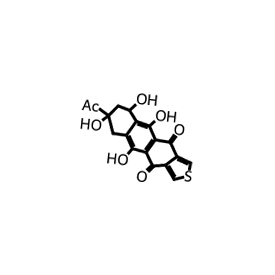 CC(=O)C1(O)Cc2c(O)c3c(c(O)c2C(O)C1)C(=O)c1cscc1C3=O